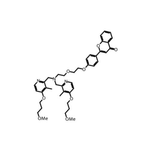 COCCCOc1ccnc(CN(CCOCCOc2ccc(-c3cc(=O)c4ccccc4o3)cc2)Cc2nccc(OCCCOC)c2C)c1C